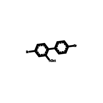 CCCCCCCCc1cc(Br)ccc1-c1ccc(Br)cc1